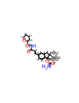 CCCCC1(CCCC)Cc2cc(C=CC(=O)NOC3CCCCO3)ccc2C1(CCCC)OC(N)=O